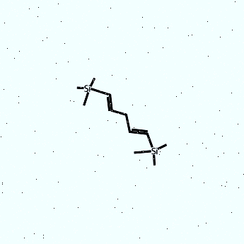 C[Si](C)(C)C=CCC=C[Si](C)(C)C